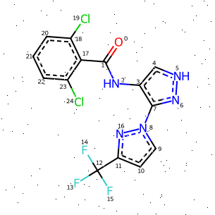 O=C(Nc1c[nH]nc1-n1ccc(C(F)(F)F)n1)c1c(Cl)cccc1Cl